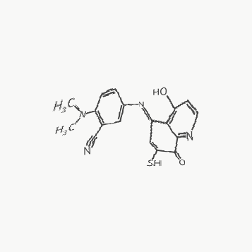 CN(C)c1ccc(N=C2C=C(S)C(=O)c3nccc(O)c32)cc1C#N